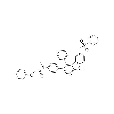 CN(C(=O)COc1ccccc1)c1ccc(-c2cnc3[nH]c4ccc(CS(=O)(=O)c5ccccc5)cc4c3c2-c2ccccc2)cc1